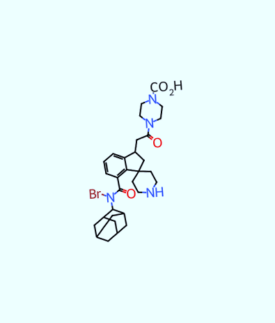 O=C(O)N1CCN(C(=O)CC2CC3(CCNCC3)c3c(C(=O)N(Br)C4C5CC6CC(C5)CC4C6)cccc32)CC1